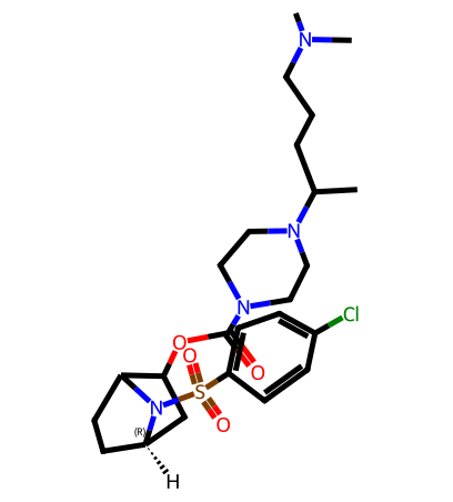 CC(CCCN(C)C)N1CCN(C(=O)OC2C[C@H]3CCC2N3S(=O)(=O)c2ccc(Cl)cc2)CC1